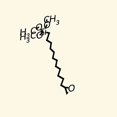 CO[Si](CCCCCCCCCCCCC1CO1)(OC)OC